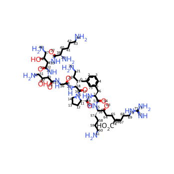 Cc1cccc(C[C@H](NC(=O)[C@@H]2CCCN2C(=O)[C@@H](CCCN)NC(=O)CNC(=O)[C@@H](NC(=O)[C@@H](NC(=O)[C@@H](N)CCCCN)[C@@H](O)CN)[C@@H](O)CN)C(=O)N[C@@H](CCCCN)C(=O)CC/C(=C\CCNC(=N)N)C(=O)O)c1